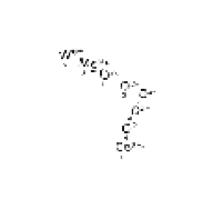 [Co+2].[Mg+2].[O-2].[O-2].[O-2].[O-2].[O-2].[W+6]